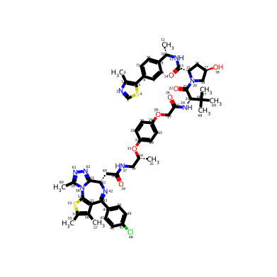 Cc1ncsc1-c1ccc([C@H](C)NC(=O)[C@@H]2C[C@@H](O)CN2C(=O)[C@@H](NC(=O)COc2ccc(O[C@H](C)CNC(=O)C[C@@H]3N=C(c4ccc(Cl)cc4)c4c(sc(C)c4C)-n4c(C)nnc43)cc2)C(C)(C)C)cc1